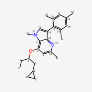 CCC(CC1CC1)Oc1cc(C)nc2c(-c3c(C)cc(C)cc3C)cn(C)c12